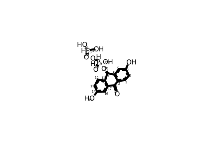 O=C1c2ccc(O)cc2C(=O)c2ccc(O)cc21.O=[PH](O)O.O=[PH](O)O